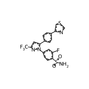 NS(=O)(=O)c1ccc(-n2nc(C(F)(F)F)cc2-c2ccc(-c3cscn3)cc2)cc1F